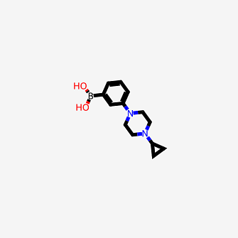 OB(O)c1cccc(N2CCN(C3CC3)CC2)c1